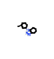 Cc1cccc(-n2nnc3ccccc32)c1